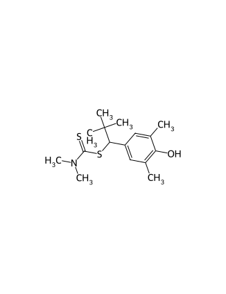 Cc1cc(C(SC(=S)N(C)C)C(C)(C)C)cc(C)c1O